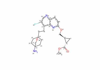 COC(=O)[C@H]1C[C@@H]1COc1ccc2ncc(F)c(CCC34CCC(N)(CC3)CO4)c2n1